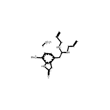 C=CCNC(Cc1ccc(OC)c2c1CC(=O)N2)NCC=C.CS(=O)(=O)O